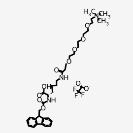 C[N+](C)(C)CCOCCOCCOCCOCCC(=O)NCCCC[C@H](NC(=O)OCC1c2ccccc2-c2ccccc21)C(=O)O.O=C([O-])C(F)(F)F